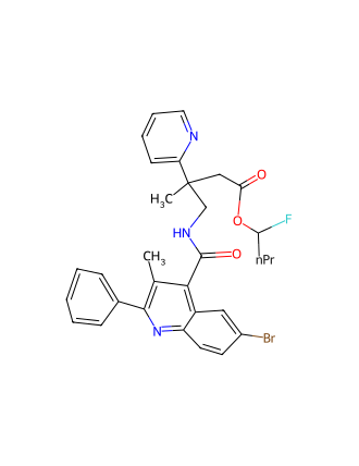 CCCC(F)OC(=O)CC(C)(CNC(=O)c1c(C)c(-c2ccccc2)nc2ccc(Br)cc12)c1ccccn1